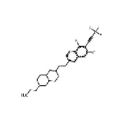 CCCC1CCC2CC(CCc3ccc4c(F)c(C#CC(F)(F)F)c(F)cc4c3)CCC2C1